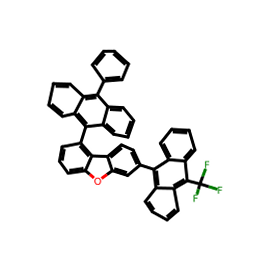 FC(F)(F)c1c2ccccc2c(-c2ccc3c(c2)oc2cccc(-c4c5ccccc5c(-c5ccccc5)c5ccccc45)c23)c2ccccc12